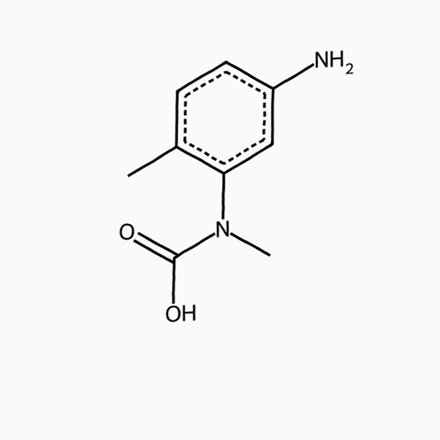 Cc1ccc(N)cc1N(C)C(=O)O